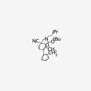 CC1=C(c2ccccc2C)C=CC(C#N)(CN(CCC(C)C)C(=O)OC(C)(C)C)C1